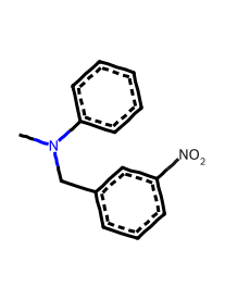 CN(Cc1cccc([N+](=O)[O-])c1)c1ccccc1